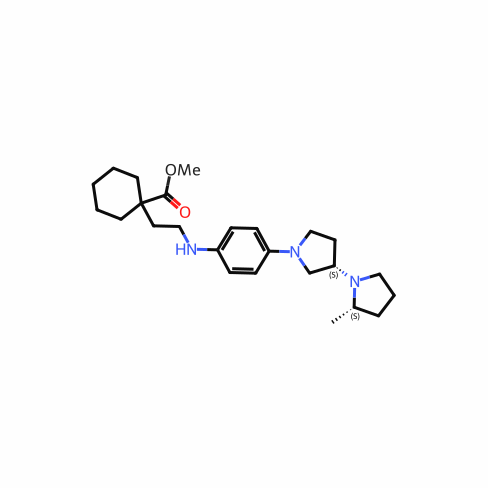 COC(=O)C1(CCNc2ccc(N3CC[C@H](N4CCC[C@@H]4C)C3)cc2)CCCCC1